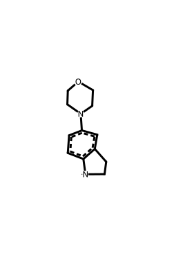 c1cc2c(cc1N1CCOCC1)CC[N]2